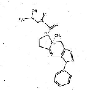 CCN(CC(O)C(F)(F)F)C(=O)[C@H]1CCC2=Cc3c(cnn3-c3ccccc3)C[C@@]21C